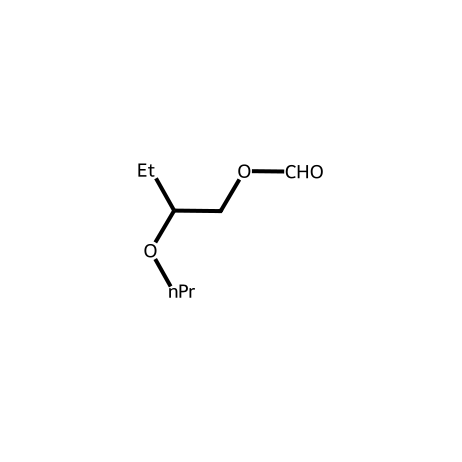 CCCOC(CC)COC=O